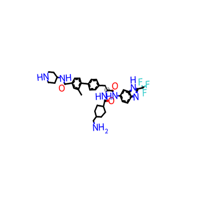 Cc1cc(C(=O)NC2CCNCC2)ccc1-c1ccc(C[C@H](NC(=O)C2CCC(CN)CC2)C(=O)Nc2ccc3nc(C(F)(F)F)[nH]c3c2)cc1